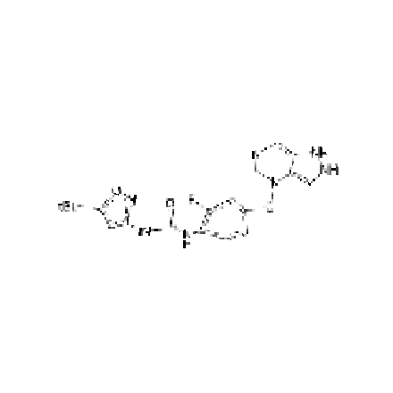 CC(C)(C)c1cc(NC(=O)Nc2ccc(ON3C=NC=C4NNC=C43)cc2F)no1